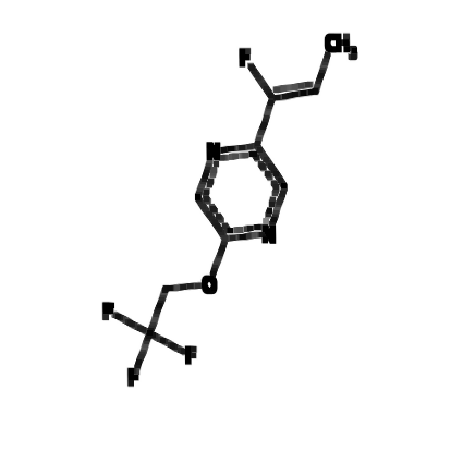 C/C=C(\F)c1cnc(OCC(F)(F)F)cn1